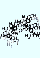 CC(C)(C)c1ccc(OP(OCCOCCOP(Oc2ccc(C(C)(C)C)cc2C(C)(C)C)Oc2ccc(C(C)(C)C)cc2C(C)(C)C)Oc2ccc(C(C)(C)C)cc2C(C)(C)C)c(C(C)(C)C)c1